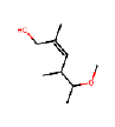 COC(C)C(C)C=C(C)CO